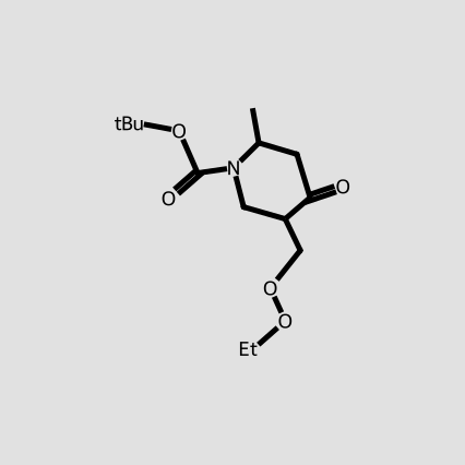 CCOOCC1CN(C(=O)OC(C)(C)C)C(C)CC1=O